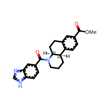 COC(=O)c1ccc2c(c1)CC[C@H]1[C@@H]2CCCN1C(=O)c1ccc2[nH]cnc2c1